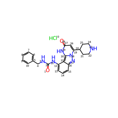 Cl.O=C(NCc1ccccc1)Nc1cccc2nn3c(C4CCNCC4)cc(=O)[nH]c3c12